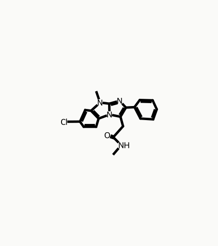 CNC(=O)Cc1c(-c2ccccc2)nc2n(C)c3cc(Cl)ccc3n12